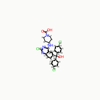 O=C(O)N1CCC(Nc2nc(Cl)nc3ccc(C(O)(c4ccc(Cl)cc4)c4ccc(Cl)cc4)cc23)CC1